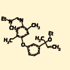 C=CC(C)(OCC)c1cccc(Oc2cc(C)c(/N=C\N(C)CC)cc2C)c1